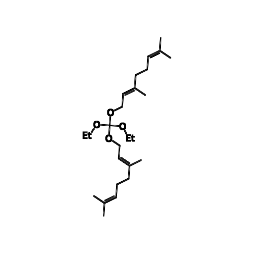 CCOC(OCC)(OC/C=C(\C)CCC=C(C)C)OC/C=C(\C)CCC=C(C)C